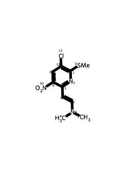 CSc1nc(/C=C/N(C)C)c([N+](=O)[O-])cc1Cl